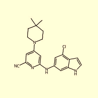 CC1(C)CCN(c2cc(C#N)nc(Nc3cc(Cl)c4cc[nH]c4c3)c2)CC1